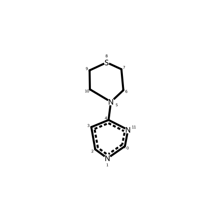 [c]1nccc(N2CCSCC2)n1